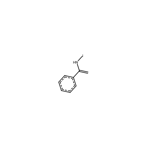 C=C(NI)c1ccccc1